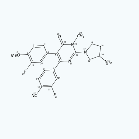 COc1ccc(-c2c(-c3ccc(C#N)c(F)c3)nc(N3CCC(N)C3)n(C)c2=O)cc1F